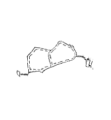 Cc1cc2cc(Cl)ccc2cn1